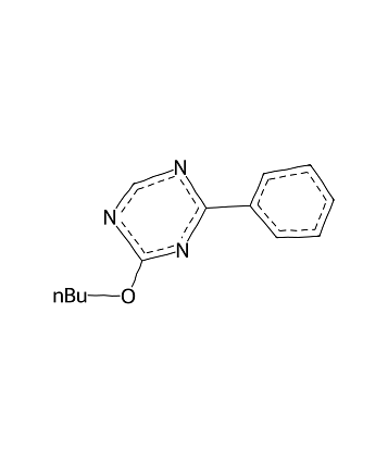 CCCCOc1ncnc(-c2ccccc2)n1